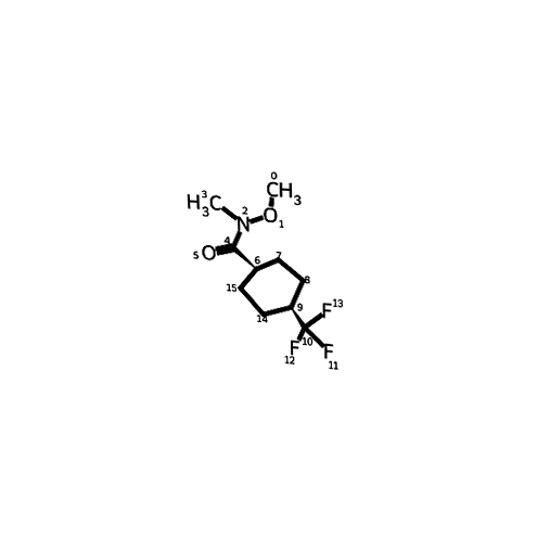 CON(C)C(=O)[C@H]1CC[C@@H](C(F)(F)F)CC1